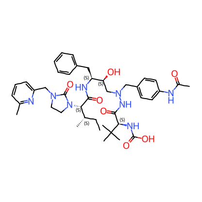 CC[C@H](C)[C@@H](C(=O)N[C@@H](Cc1ccccc1)[C@@H](O)CN(Cc1ccc(NC(C)=O)cc1)NC(=O)[C@@H](NC(=O)O)C(C)(C)C)N1CCN(Cc2cccc(C)n2)C1=O